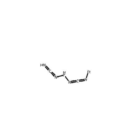 CCN=C=NPN=C=N